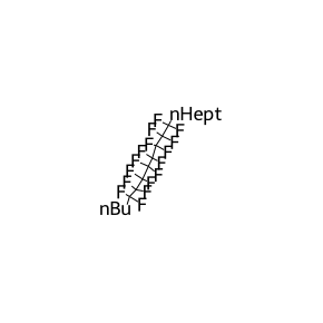 CCCCCCCC(F)(F)C(F)(F)C(F)(F)C(F)(F)C(F)(F)C(F)(F)C(F)(F)C(F)(F)CCCC